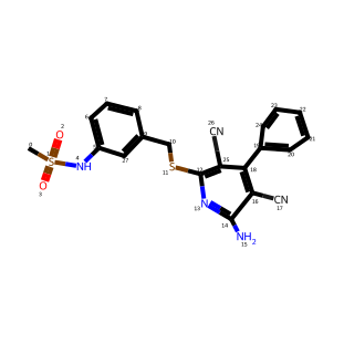 CS(=O)(=O)Nc1cccc(CSc2nc(N)c(C#N)c(-c3ccccc3)c2C#N)c1